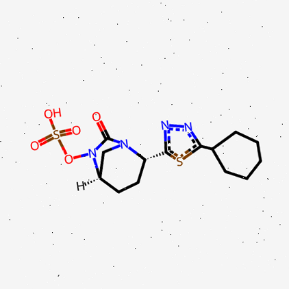 O=C1N2C[C@@H](CC[C@H]2c2nnc(C3CCCCC3)s2)N1OS(=O)(=O)O